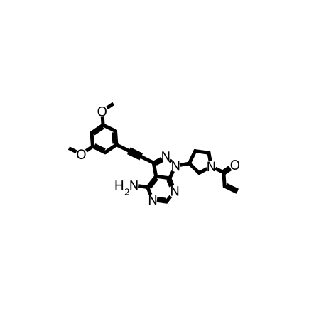 C=CC(=O)N1CCC(n2nc(C#Cc3cc(OC)cc(OC)c3)c3c(N)ncnc32)C1